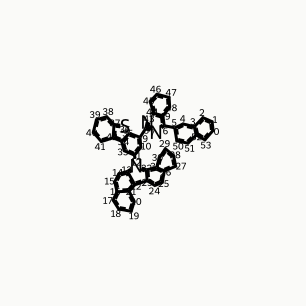 c1ccc2cc(-c3nc(-c4cc(-n5c6ccc7ccccc7c6c6ccc7ccccc7c65)cc5c4sc4ccccc45)nc4ccccc34)ccc2c1